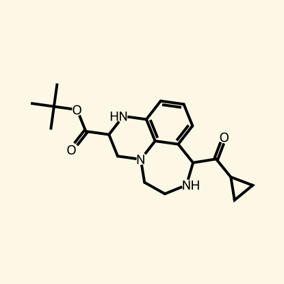 CC(C)(C)OC(=O)C1CN2CCNC(C(=O)C3CC3)c3cccc(c32)N1